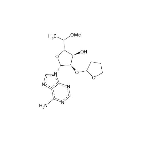 COC(C)[C@H]1O[C@@H](n2cnc3c(N)ncnc32)[C@H](OC2CCCO2)[C@@H]1O